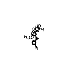 COc1nnc(-c2c[nH]c(=O)[nH]c2=O)cc1[C@H]1C[C@@H]1c1cccc(C#N)c1